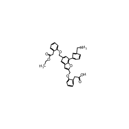 CCOC(=O)Cc1ccccc1OCc1cc(-c2cccc(CN)c2)c2oc(COc3ccccc3CC(=O)O)cc2c1